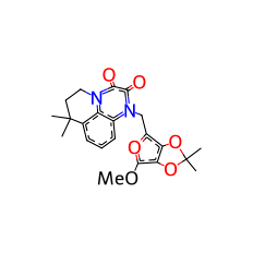 COc1oc(Cn2c(=O)c(=O)n3c4c(cccc42)C(C)(C)CC3)c2c1OC(C)(C)O2